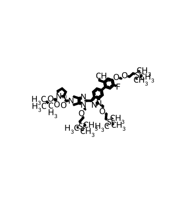 CCc1cc(OCOCC[Si](C)(C)C)c(F)cc1-c1ccc2c(-c3nc4c(n3COCC[Si](C)(C)C)CN(C(=O)[C@@H]3CCCN3C(=O)OC(C)(C)C)C4)nn(COCC[Si](C)(C)C)c2c1